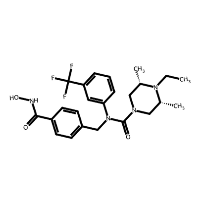 CCN1[C@H](C)CN(C(=O)N(Cc2ccc(C(=O)NO)cc2)c2cccc(C(F)(F)F)c2)C[C@@H]1C